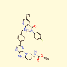 CCN(C(=O)c1cc(C#N)cnc1NCc1ccc(-c2cnc(N)c(N3CCC[C@@H](NC(=O)OC(C)(C)C)C3)n2)cc1)c1ccc(F)cc1